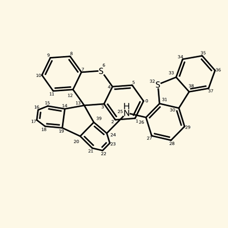 c1ccc2c(c1)Sc1ccccc1C21c2ccccc2-c2cccc(Nc3cccc4c3sc3ccccc34)c21